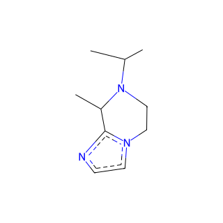 CC(C)N1CCn2ccnc2C1C